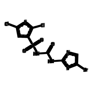 O=C(Nc1ncc(Br)s1)NS(=O)(=O)c1cc(Cl)sc1Cl